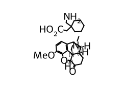 COc1ccc2c3c1O[C@H]1C(=O)CC[C@H]4[C@@H](C2)N(C)CC[C@]314.NCC1(CC(=O)O)CCCCC1